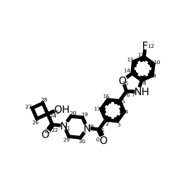 O=C(c1ccc(C2Nc3ccc(F)cc3O2)cc1)N1CCN(C(=O)C2(O)CCC2)CC1